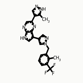 Cc1[nH]ncc1-c1cnc2[nH]cc(-c3cnn(Cc4cccc(C(F)(F)F)c4C)c3)c2n1